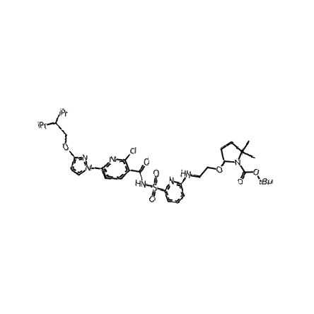 CC(C)C(COc1ccn(-c2ccc(C(=O)NS(=O)(=O)c3cccc(NCCOC4CCC(C)(C)N4C(=O)OC(C)(C)C)n3)c(Cl)n2)n1)C(C)C